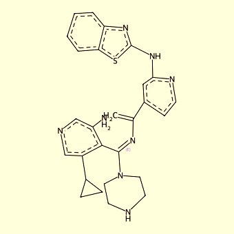 C=C(/N=C(\c1c(N)cncc1C1CC1)N1CCNCC1)c1ccnc(Nc2nc3ccccc3s2)c1